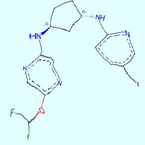 FC(F)Oc1cnc(N[C@H]2CC[C@H](Nc3ccc(I)cn3)C2)cn1